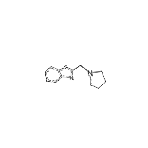 c1ccc2sc(CN3CCCC3)nc2c1